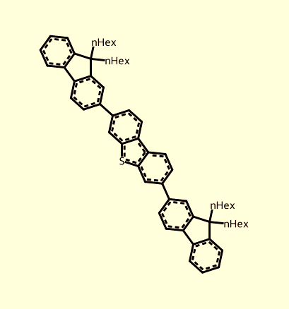 CCCCCCC1(CCCCCC)c2ccccc2-c2ccc(-c3ccc4c(c3)sc3cc(-c5ccc6c(c5)C(CCCCCC)(CCCCCC)c5ccccc5-6)ccc34)cc21